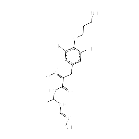 CCCC(NC=NN)NC(=O)C(Cc1cc(Cl)c(OCCCN)c(Cl)c1)=NO